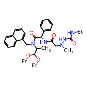 CCNC(=O)NN(C)CC(=O)N[C@H](C(=O)N(Cc1cccc2ccccc12)C(C)C(OCC)OCC)c1ccccc1